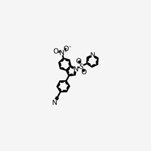 N#Cc1ccc(-c2cn(S(=O)(=O)c3cccnc3)c3cc([N+](=O)[O-])ccc23)cc1